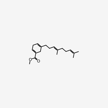 COC(=O)C1=CCC=C(CC/C=C(\C)CCC=C(C)C)C1